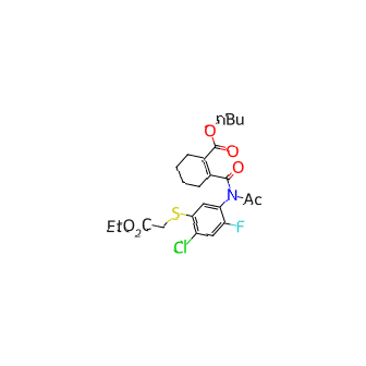 CCCCOC(=O)C1=C(C(=O)N(C(C)=O)c2cc(SCC(=O)OCC)c(Cl)cc2F)CCCC1